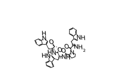 N[C@@H](Cc1c[nH]c2ccccc12)C(=O)N1CCC[C@H]1C(=O)N[C@@H](Cc1c[nH]c2ccccc12)C(=O)N[C@H]([C]=O)Cc1c[nH]c2ccccc12